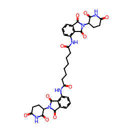 O=C1CCC(N2C(=O)c3cccc(NC(=O)CCCCCCC(=O)Nc4cccc5c4C(=O)N(C4CCC(=O)NC4=O)C5=O)c3C2=O)C(=O)N1